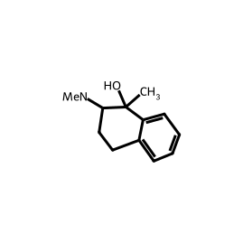 CNC1CCc2ccccc2C1(C)O